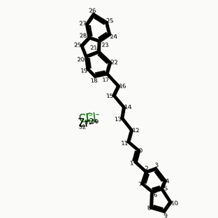 C(=Cc1ccc2c(c1)C=CC2)CCCCCCc1ccc2c(c1)-c1ccccc1C2.[Cl-].[Cl-].[Zr+2]